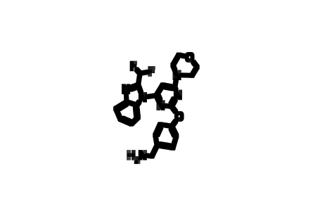 NCc1ccc(Oc2nc(N3CCOCC3)cc(-n3c(C(F)F)nc4ccccc43)n2)cc1